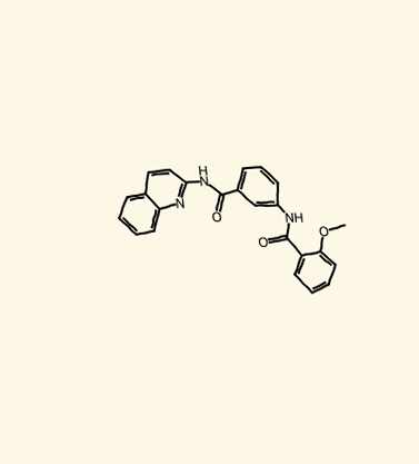 COc1ccccc1C(=O)Nc1cccc(C(=O)Nc2ccc3ccccc3n2)c1